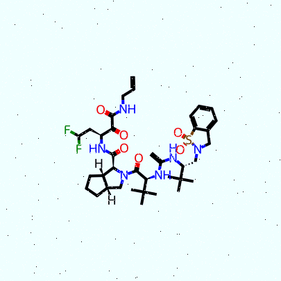 C=CCNC(=O)C(=O)[C@H](CC(F)F)NC(=O)[C@@H]1[C@H]2CCC[C@H]2CN1C(=O)[C@@H](NC(=C)N[C@H](CN1Cc2ccccc2S1(=O)=O)C(C)(C)C)C(C)(C)C